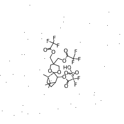 CC1(C)C2CCC1(C)C1(OCC(COC(=O)C(F)(F)F)(COC(=O)C(F)(F)F)CO1)C2OC(=O)C(F)(F)S(=O)(=O)O